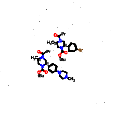 CC(C)C(=O)N1C[C@H](c2ccc(Br)cc2)N(C(=O)OC(C)(C)C)C[C@H]1C.CC(C)C(=O)N1C[C@H](c2ccc(N3CCN(C)CC3)cc2)N(C(=O)OC(C)(C)C)C[C@H]1C